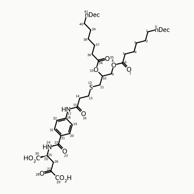 CCCCCCCCCCCCCCCC(=O)OCC(CSCCC(=O)Nc1ccc(C(=O)N[C@@H](CC(=O)C(=O)O)C(=O)O)cc1)OC(=O)CCCCCCCCCCCCCCC